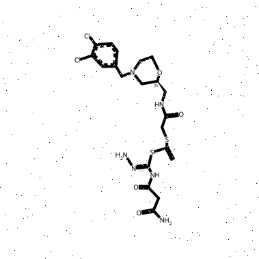 C=C(SCC(=O)NC[C@H]1CN(Cc2ccc(Cl)c(Cl)c2)CCO1)S/C(=N\N)NC(=O)CC(N)=O